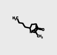 CCCCC1CC2CCN1C(C)C2=O